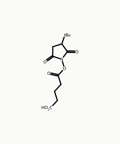 CC(C)(C)C1CC(=O)N(OC(=O)CCCC(=O)O)C1=O